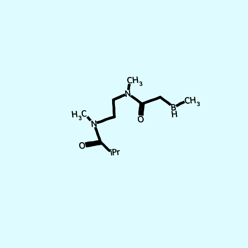 CBCC(=O)N(C)CCN(C)C(=O)C(C)C